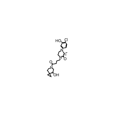 C[C@H]1C(=O)N(CCCC(=O)N2CCC3(CC3)[C@H](O)C2)CCN1c1ccc(Cl)c(O)c1